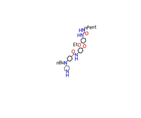 CCCCCNC(=O)Nc1ccc(Oc2ccc(NC(=O)c3ccc(N(CCCC)C4CCNCC4)cc3)cc2)c(OCC)c1